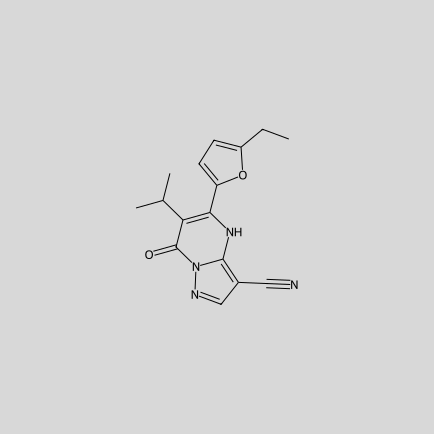 CCc1ccc(-c2[nH]c3c(C#N)cnn3c(=O)c2C(C)C)o1